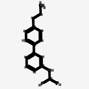 CCCc1ccc(-c2cccc(OC(F)F)c2)nc1